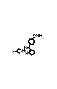 NSc1ccc(-c2nc(N3CC(F)C3)nc3c2CCC3)cc1